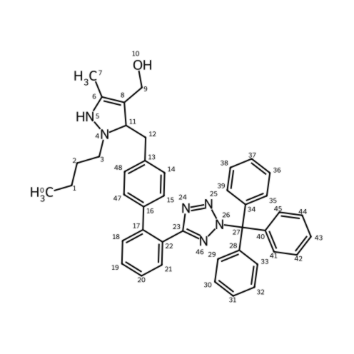 CCCCN1NC(C)=C(CO)C1Cc1ccc(-c2ccccc2-c2nnn(C(c3ccccc3)(c3ccccc3)c3ccccc3)n2)cc1